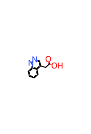 O=C(O)Cc1cnnc2ccccc12